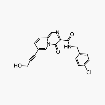 O=C(NCc1ccc(Cl)cc1)c1ncc2ccc(C#CCO)cn2c1=O